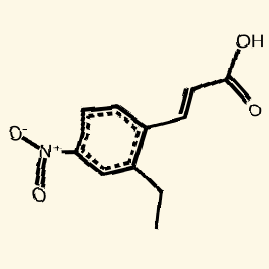 CCc1cc([N+](=O)[O-])ccc1C=CC(=O)O